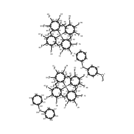 COc1ccc([I+]c2ccccc2)cc1.Fc1c(F)c(F)c([B-](c2c(F)c(F)c(F)c(F)c2F)(c2c(F)c(F)c(F)c(F)c2F)c2c(F)c(F)c(F)c(F)c2F)c(F)c1F.Fc1c(F)c(F)c([B-](c2c(F)c(F)c(F)c(F)c2F)(c2c(F)c(F)c(F)c(F)c2F)c2c(F)c(F)c(F)c(F)c2F)c(F)c1F.c1ccc([I+]c2ccccc2)cc1